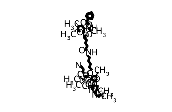 CC[C@H]1O[C@@H](n2ccc(/N=C\N(C)C)nc2=O)[C@@H](OP(OCCC#N)N(C(C)C)C(C)C)C1OCCCCCCNC(=O)CCCCO[C@@H]1O[C@H](CC)[C@H](C)[C@H](OC(=O)c2ccccc2)[C@H]1NC(C)=O